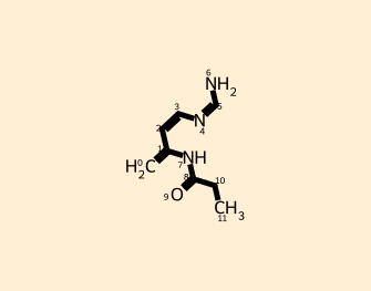 C=C(/C=C\N=C/N)NC(=O)CC